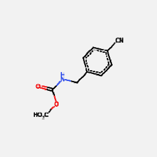 N#Cc1ccc(CNC(=O)OC(=O)O)cc1